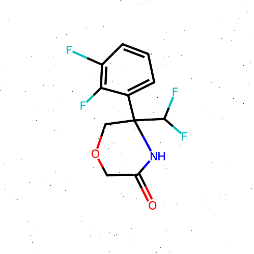 O=C1COCC(c2cccc(F)c2F)(C(F)F)N1